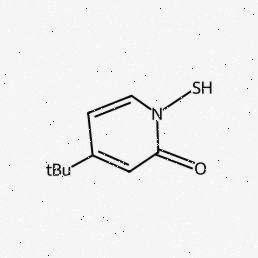 CC(C)(C)c1ccn(S)c(=O)c1